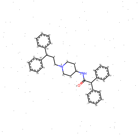 O=C(NC1CCN(CCC(c2ccccc2)c2ccccc2)CC1)C(c1ccccc1)c1ccccc1